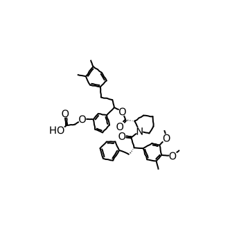 COc1cc([C@H](Cc2ccccc2)C(=O)N2CCCC[C@H]2C(=O)OC(CCc2ccc(C)c(C)c2)c2cccc(OCC(=O)O)c2)cc(C)c1OC